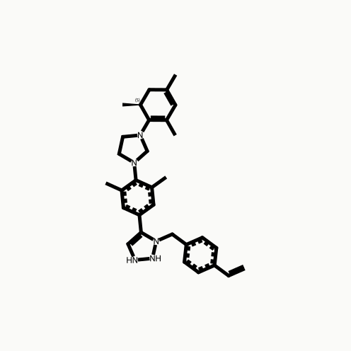 C=Cc1ccc(CN2NNC=C2c2cc(C)c(N3CCN(C4=C(C)C=C(C)C[C@@H]4C)C3)c(C)c2)cc1